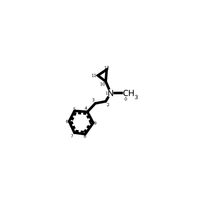 CN(CCc1ccccc1)C1CC1